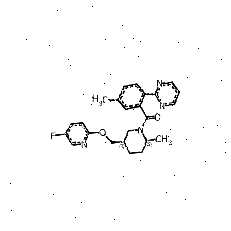 Cc1ccc(-c2ncccn2)c(C(=O)N2C[C@H](COc3ccc(F)cn3)CC[C@@H]2C)c1